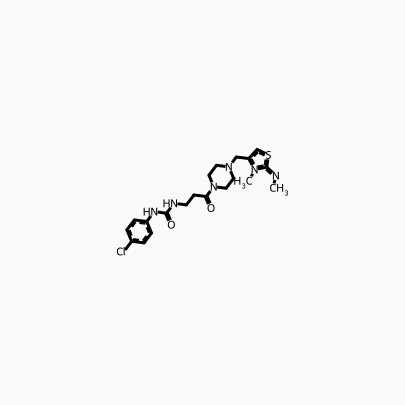 CN=c1scc(CN2CCN(C(=O)CCNC(=O)Nc3ccc(Cl)cc3)CC2)n1C